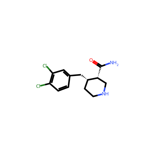 NC(=O)[C@@H]1CNCC[C@@H]1Cc1ccc(Cl)c(Cl)c1